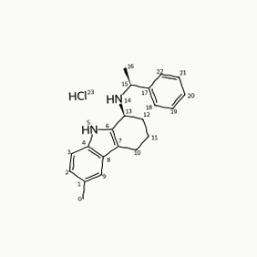 Cc1ccc2[nH]c3c(c2c1)CCC[C@@H]3N[C@@H](C)c1ccccc1.Cl